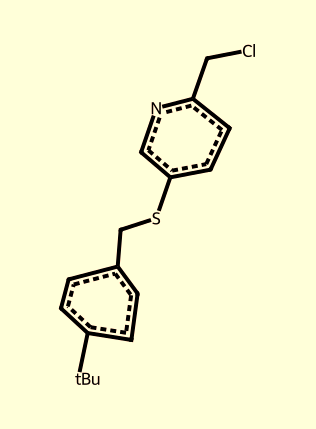 CC(C)(C)c1ccc(CSc2ccc(CCl)nc2)cc1